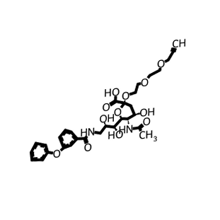 C#CCOCCOCCO[C@]1(C(=O)O)C[C@@H](O)[C@H](NC(C)=O)[C@@H]([C@@H](O)[C@@H](O)CNC(=O)c2cccc(Oc3ccccc3)c2)O1